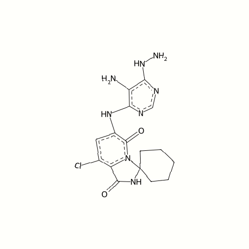 NNc1ncnc(Nc2cc(Cl)c3n(c2=O)C2(CCCCC2)NC3=O)c1N